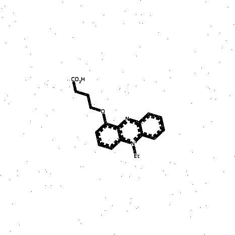 CC[n+]1c2ccccc2nc2c(OCCCC(=O)O)cccc21